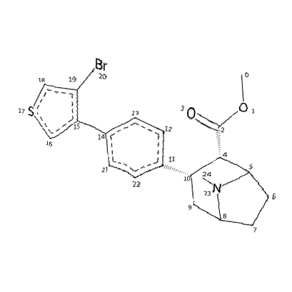 COC(=O)[C@@H]1C2CCC(C[C@@H]1c1ccc(-c3cscc3Br)cc1)N2C